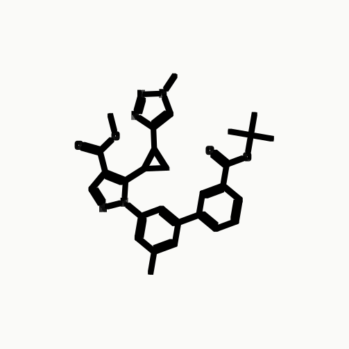 COC(=O)c1cnn(-c2cc(C)cc(-c3cccc(C(=O)OC(C)(C)C)c3)c2)c1C1CC1c1cn(C)nn1